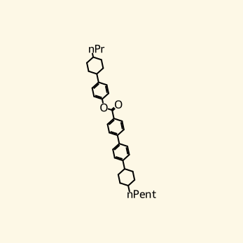 CCCCCC1CCC(c2ccc(-c3ccc(C(=O)Oc4ccc(C5CCC(CCC)CC5)cc4)cc3)cc2)CC1